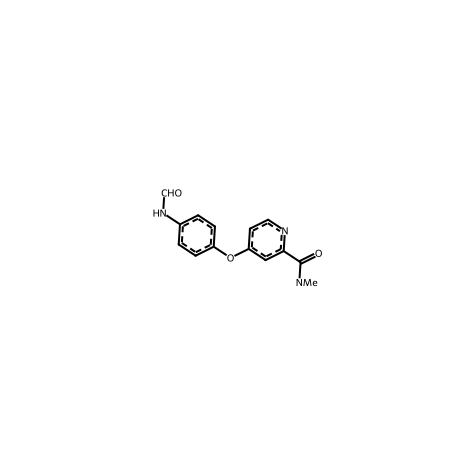 CNC(=O)c1cc(Oc2ccc(NC=O)cc2)ccn1